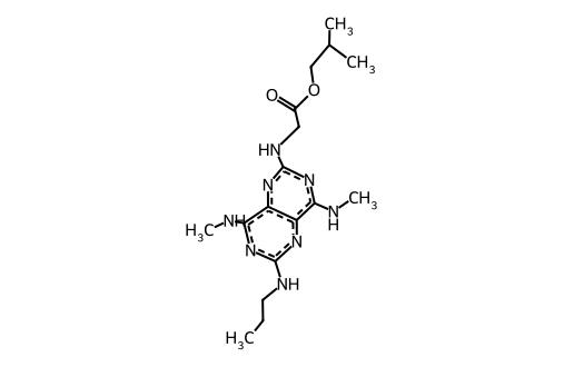 CCCNc1nc(NC)c2nc(NCC(=O)OCC(C)C)nc(NC)c2n1